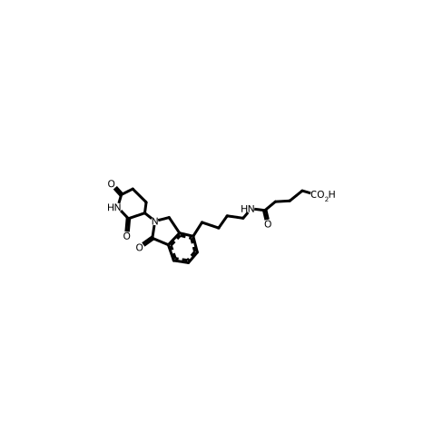 O=C(O)CCCC(=O)NCCCCc1cccc2c1CN(C1CCC(=O)NC1=O)C2=O